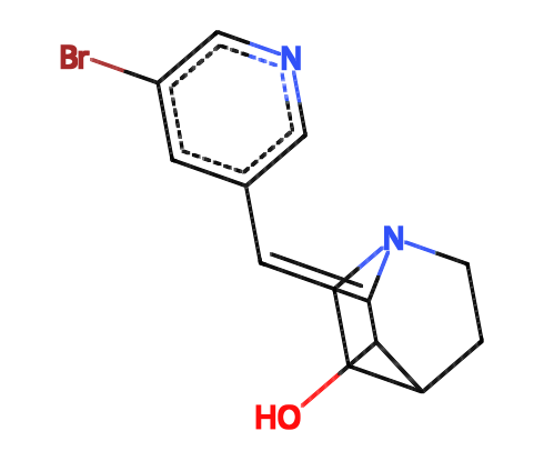 OC1/C(=C/c2cncc(Br)c2)N2CCC1CC2